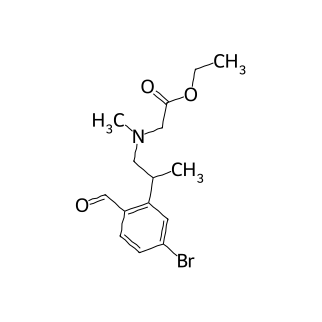 CCOC(=O)CN(C)CC(C)c1cc(Br)ccc1C=O